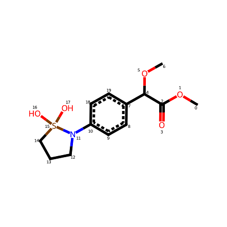 COC(=O)C(OC)c1ccc(N2CCCS2(O)O)cc1